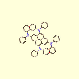 c1ccc(N(c2ccccc2)c2cc3cc(N(c4ccccc4)c4ccccc4)c4cc(N(c5ccccc5)c5ccccc5)cc5cc(N(c6ccccc6)c6ccccc6)c(c2)c3c54)cc1